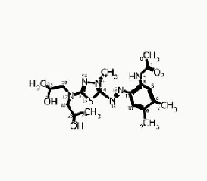 CC(=O)Nc1cc(C)c(C)cc1N=Nc1sc(N(CC(C)O)CC(C)O)n[n+]1C